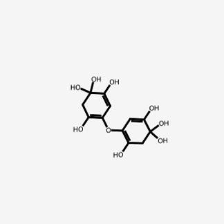 OC1=CC(OC2=C(O)CC(O)(O)C(O)=C2)=C(O)CC1(O)O